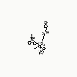 CCCc1nc(-n2cccc2C(=O)C(F)(F)F)c(C(=O)NCCCCCC(=O)NCCc2ccc(O)cc2)n1Cc1ccc(-c2ccccc2-c2nn[nH]n2)cc1